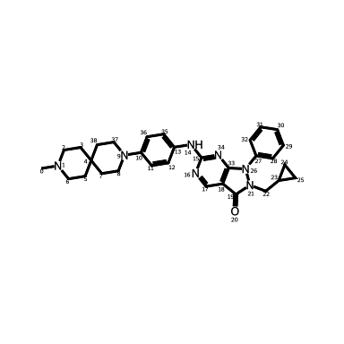 CN1CCC2(CC1)CCN(c1ccc(Nc3ncc4c(=O)n(CC5CC5)n(-c5ccccc5)c4n3)cc1)CC2